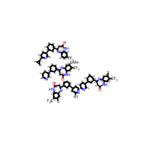 CCc1cc(-c2cccc(C3=Nc4cc(C)c(C(F)(F)F)cc4NC(=O)C3)c2)ccn1.COc1cc2c(cc1C(F)(F)F)NC(=O)CC(c1cccc(-c3cccnc3)c1)=N2.Cc1cc2c(cc1C(F)(F)F)NC(=O)CC(c1cccc(-c3cccnc3)c1)=N2.O=C1CC(c2cccc(-c3ccc(C4CC4)nc3)c2)=Nc2ccc(C(F)(F)F)cc2N1